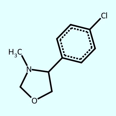 CN1COCC1c1ccc(Cl)cc1